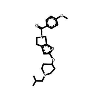 COc1ccc(C(=O)N2CCc3cc(OC4CCN(CC(C)C)CC4)sc3C2)cc1